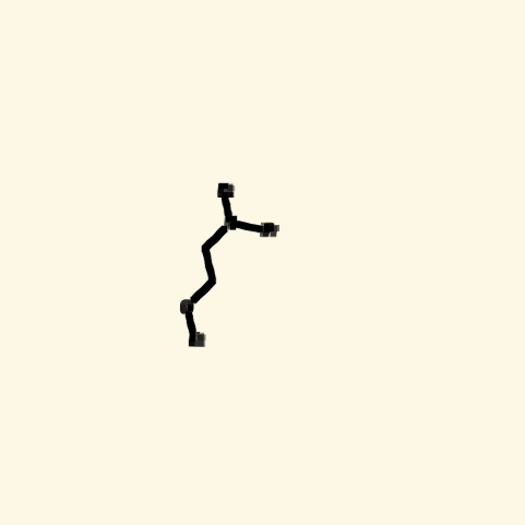 CCOCCN(CC)C(C)C